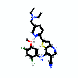 CCN(CC)Cc1ccc(-c2cc3ncc(C#N)c(Nc4cc(OC)c(Cl)cc4Cl)c3s2)nc1